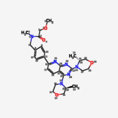 COCC(=O)N(C)Cc1ccc(-c2ccc3c(N4CCOC[C@@H]4C)nc(N4CCOC[C@H]4C)nc3n2)cc1